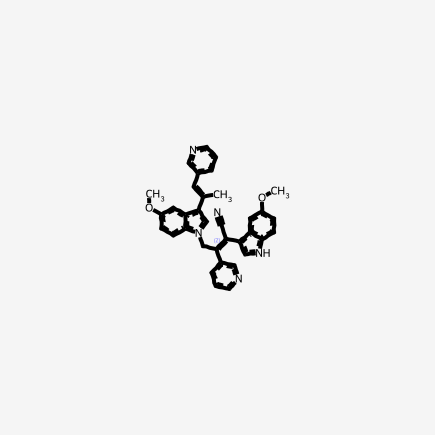 COc1ccc2[nH]cc(/C(C#N)=C(/Cn3cc(C(C)=Cc4cccnc4)c4cc(OC)ccc43)c3cccnc3)c2c1